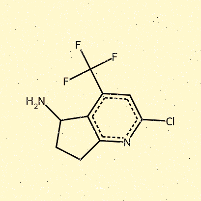 NC1CCc2nc(Cl)cc(C(F)(F)F)c21